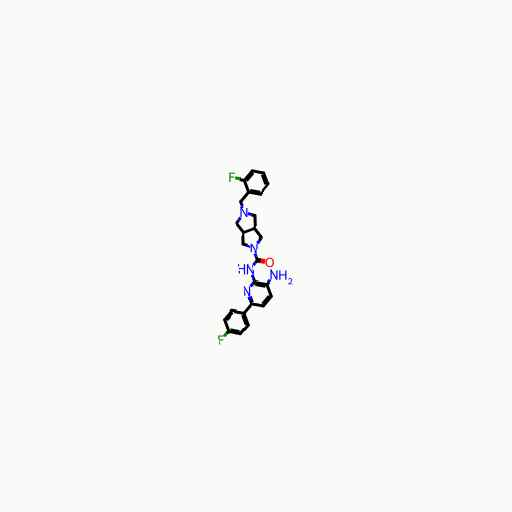 Nc1ccc(-c2ccc(F)cc2)nc1NC(=O)N1CC2CN(Cc3ccccc3F)CC2C1